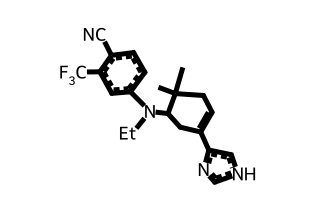 CCN(c1ccc(C#N)c(C(F)(F)F)c1)C1CC(c2c[nH]cn2)=CCC1(C)C